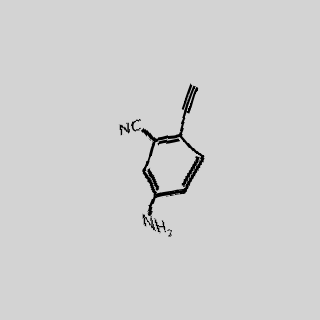 C#Cc1ccc(N)cc1C#N